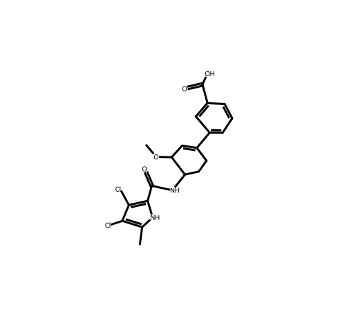 COC1C=C(c2cccc(C(=O)O)c2)CCC1NC(=O)c1[nH]c(C)c(Cl)c1Cl